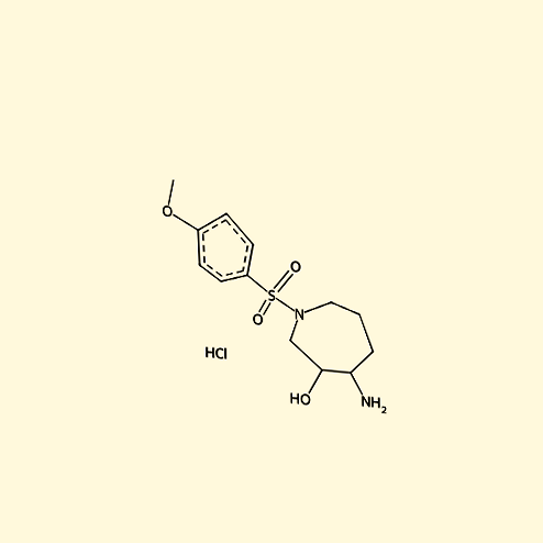 COc1ccc(S(=O)(=O)N2CCCC(N)C(O)C2)cc1.Cl